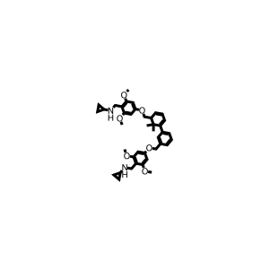 COc1cc(OCc2cccc(C3=CC=CC(COc4cc(OC)c(CNC5CC5)c(OC)c4)C3(C)C)c2)cc(OC)c1CNC1CC1